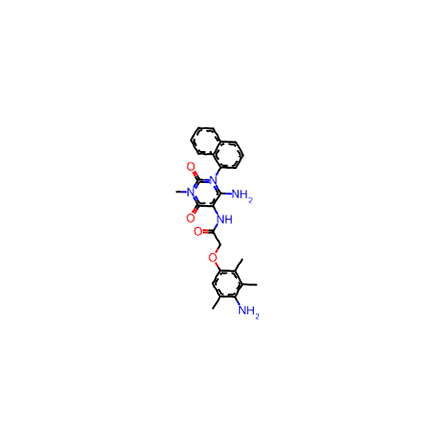 Cc1cc(OCC(=O)Nc2c(N)n(-c3cccc4ccccc34)c(=O)n(C)c2=O)c(C)c(C)c1N